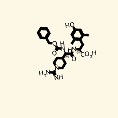 Cc1cc(O)cc(C)c1C[C@H](NC(=O)[C@H](NC(=O)OCc1ccccc1)C1CCN(C(=N)N)CC1)C(=O)O